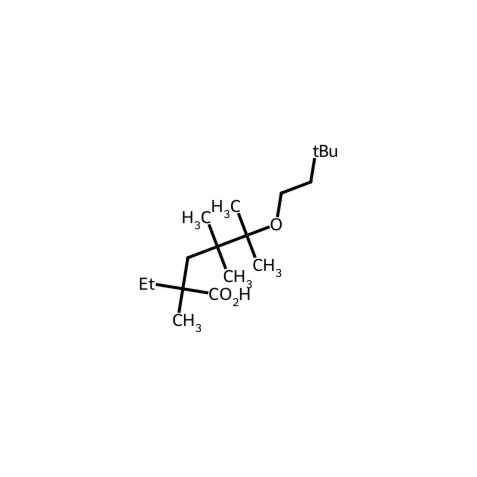 CCC(C)(CC(C)(C)C(C)(C)OCCC(C)(C)C)C(=O)O